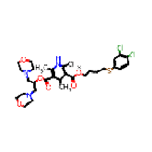 CC1=C(C(=O)OCCCCSc2ccc(Cl)c(Cl)c2)C(C)C(C(=O)OC(CN2CCOCC2)CN2CCOCC2)=C(C)N1